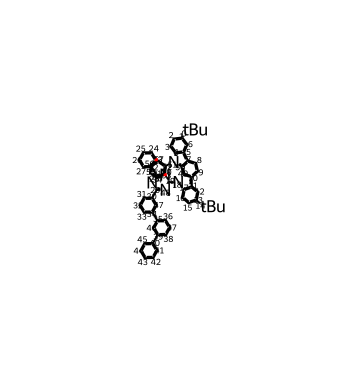 CC(C)(C)c1ccc2c(c1)c1ccc3c4cc(C(C)(C)C)ccc4n(-c4nc(-c5ccccc5)nc(-c5cccc(-c6cccc(-c7ccccc7)c6)c5)n4)c3c1n2-c1ccccc1